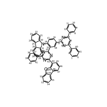 c1ccc(-c2cc(-c3ccccc3)nc(-c3ccc(-n4c5ccccc5c5ccccc54)c(-c4nc(-c5ccccc5)nc(-c5cccc6c5oc5ccccc56)n4)c3)n2)cc1